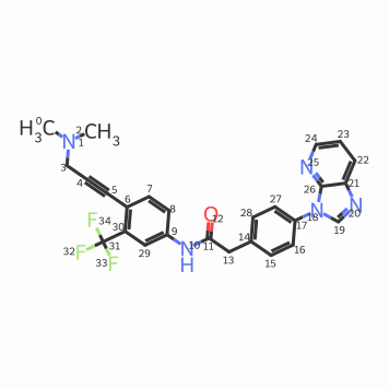 CN(C)CC#Cc1ccc(NC(=O)Cc2ccc(-n3cnc4cccnc43)cc2)cc1C(F)(F)F